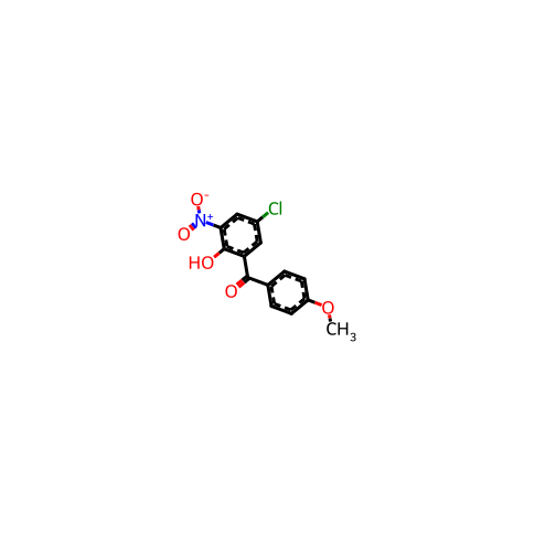 COc1ccc(C(=O)c2cc(Cl)cc([N+](=O)[O-])c2O)cc1